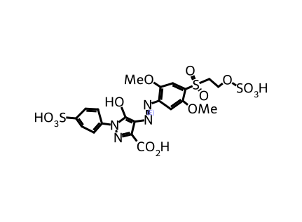 COc1cc(S(=O)(=O)CCOS(=O)(=O)O)c(OC)cc1/N=N/c1c(C(=O)O)nn(-c2ccc(S(=O)(=O)O)cc2)c1O